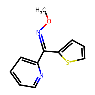 CON=C(c1ccccn1)c1cccs1